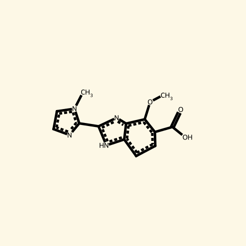 COc1c(C(=O)O)ccc2[nH]c(-c3nccn3C)nc12